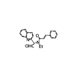 CCN(C(=O)C=Cc1ccccc1)C([C]=O)c1ccc2ccccc2n1